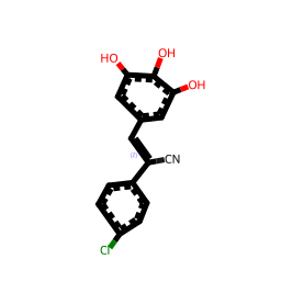 N#C/C(=C\c1cc(O)c(O)c(O)c1)c1ccc(Cl)cc1